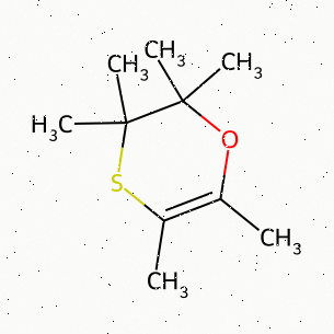 CC1=C(C)SC(C)(C)C(C)(C)O1